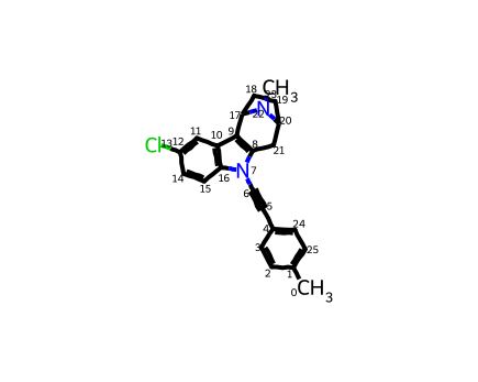 Cc1ccc(C#Cn2c3c(c4cc(Cl)ccc42)C2CCC(C3)N2C)cc1